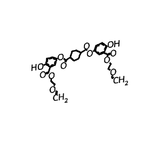 C=COCCOC(=O)c1cc(OC(=O)C2CCC(C(=O)Oc3ccc(O)c(C(=O)OCCOC=C)c3)CC2)ccc1O